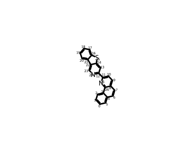 c1ccc2c(c1)ccc1ccc(-c3cc4sc5ccccc5c4cn3)nc12